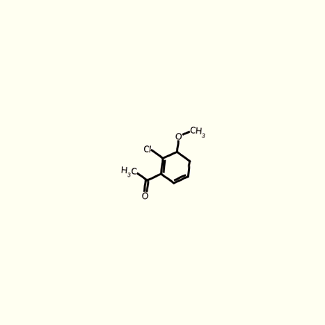 COC1CC=CC(C(C)=O)=C1Cl